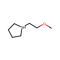 COCC[SiH]1CCCC1